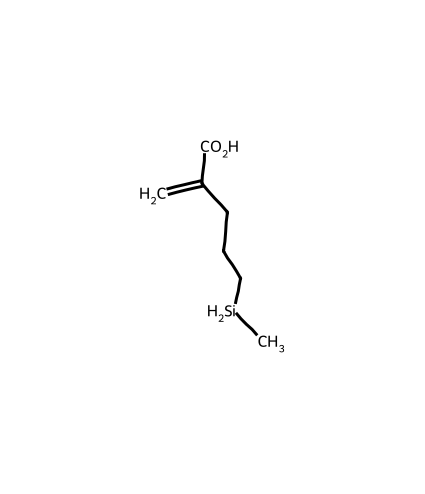 C=C(CCC[SiH2]C)C(=O)O